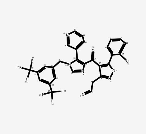 O=CCc1noc(-c2ccccc2Cl)c1C(=O)c1ncn(Cc2cc(C(F)(F)F)cc(C(F)(F)F)c2)c1-c1cccnc1